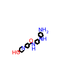 Nc1ccc(Nc2ccc(NC(=O)c3ccc(N4CCC(O)CC4)cc3)cc2)cc1